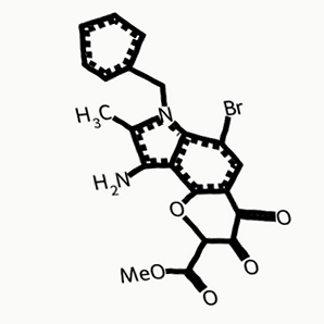 COC(=O)C1Oc2c(cc(Br)c3c2c(N)c(C)n3Cc2ccccc2)C(=O)C1=O